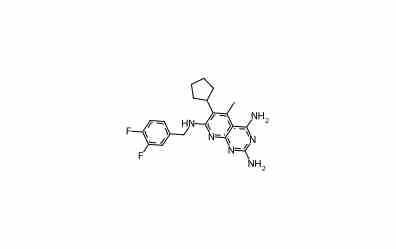 Cc1c(C2CCCC2)c(NCc2ccc(F)c(F)c2)nc2nc(N)nc(N)c12